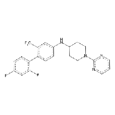 Fc1ccc(-c2ccc(NC3CCN(c4ncccn4)CC3)cc2C(F)(F)F)c(F)c1